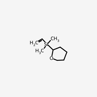 C=C[Si](C)(C)C1CCCCO1